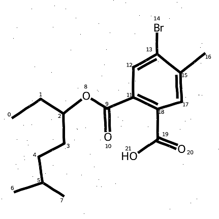 CCC(CCC(C)C)OC(=O)c1cc(Br)c(C)cc1C(=O)O